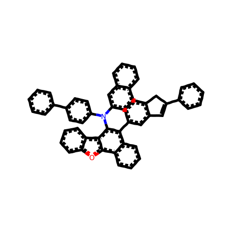 C1=C(c2ccccc2)Cc2ccc(-c3c(N(c4ccc(-c5ccccc5)cc4)c4ccc5ccccc5c4)c4c5ccccc5oc4c4ccccc34)cc21